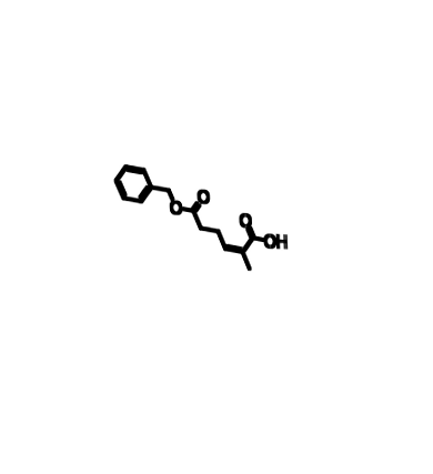 CC(=CCCC(=O)OCc1ccccc1)C(=O)O